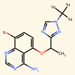 [2H]C([2H])([2H])n1cnc(C(C)Oc2ccc(Br)c3ncnc(N)c23)n1